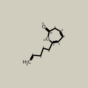 C=CCCCC1=CC=CCC(=O)O1